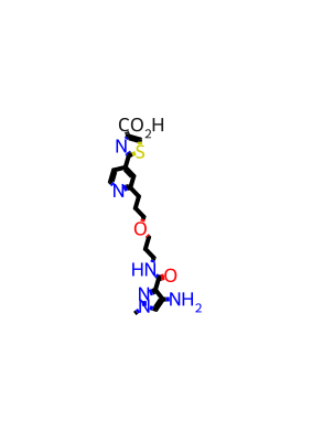 Cn1cc(N)c(C(=O)NCCCOCCCc2cc(-c3nc(C(=O)O)cs3)ccn2)n1